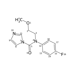 COCCN(C(=O)n1ccnc1)c1ccc(F)cc1